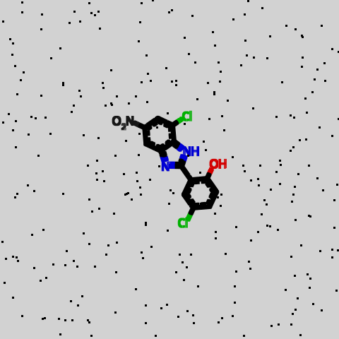 O=[N+]([O-])c1cc(Cl)c2[nH]c(-c3cc(Cl)ccc3O)nc2c1